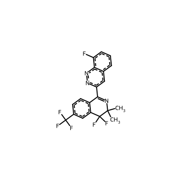 CC1(C)N=C(c2cc3cccc(F)c3nn2)c2ccc(C(F)(F)F)cc2C1(F)F